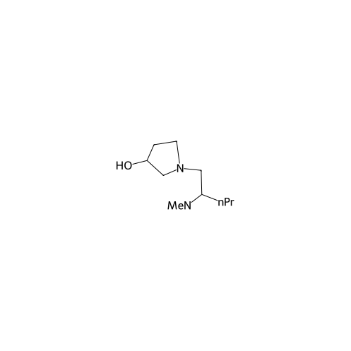 CCCC(CN1CCC(O)C1)NC